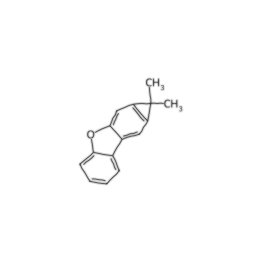 CC1(C)c2cc3oc4ccccc4c3cc21